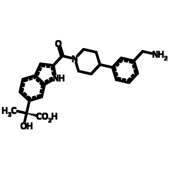 C[C@@](O)(C(=O)O)c1ccc2cc(C(=O)N3CCC(c4cccc(CN)c4)CC3)[nH]c2c1